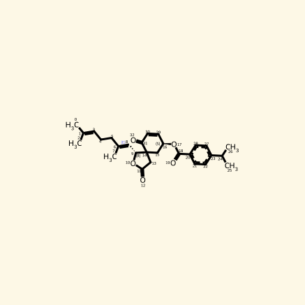 CC(C)=CCC/C(C)=C/[C@H]1OC(=O)CC12C[C@H](OC(=O)c1ccc(C(C)C)cc1)C=CC2=O